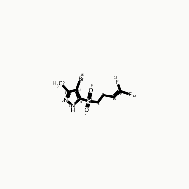 Cc1n[nH]c(S(=O)(=O)CCC=C(F)F)c1Br